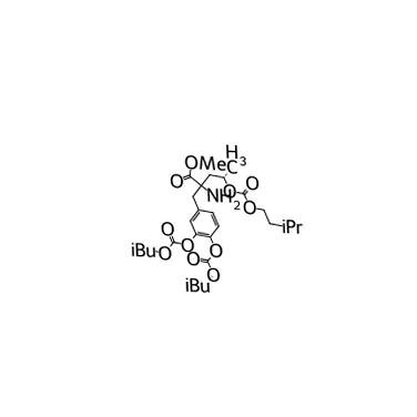 CCC(C)OC(=O)Oc1cc(CC(N)(C[C@H](C)OC(=O)OCCC(C)C)C(=O)OC)ccc1OC(=O)O[C@@H](C)CC